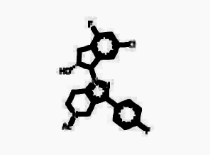 CC(=O)N1CCc2c(c(-c3ccc(F)cc3)nn2C2c3cc(Cl)cc(F)c3C[C@H]2O)C1